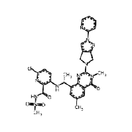 Cc1cc([C@@H](C)Nc2ccc(Cl)nc2C(=O)NS(C)(=O)=O)c2nc(N3Cc4cn(-c5ccccn5)nc4C3)n(C)c(=O)c2c1